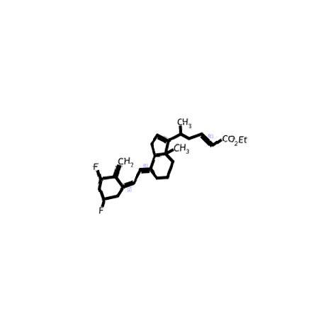 C=C1/C(=C\C=C2/CCCC3(C)C(C(C)C/C=C/C(=O)OCC)=CCC23)CC(F)CC1F